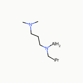 CC(C)C[N]([AlH2])CCCN(C)C